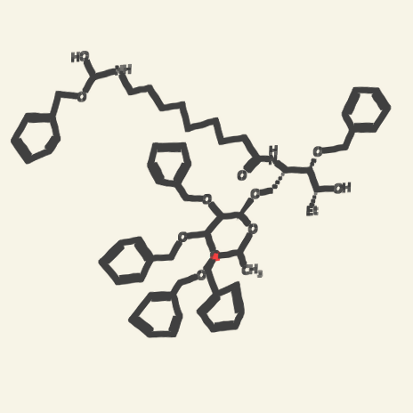 CC[C@@H](O)[C@@H](OCc1ccccc1)[C@H](CO[C@@H](OC(C)COCc1ccccc1)C(OCc1ccccc1)C(OCc1ccccc1)OCc1ccccc1)NC(=O)CCCCCCCCNC(O)OCc1ccccc1